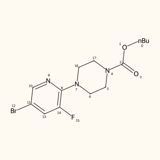 CCCCOC(=O)N1CCN(c2ncc(Br)cc2F)CC1